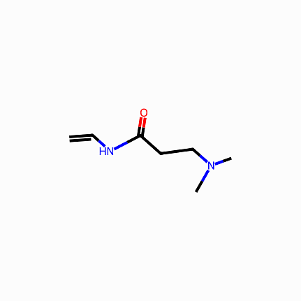 C=CNC(=O)CCN(C)C